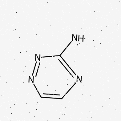 [NH]c1nccnn1